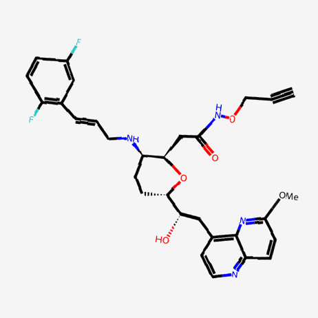 C#CCONC(=O)C[C@H]1O[C@H]([C@@H](O)Cc2ccnc3ccc(OC)nc23)CC[C@H]1NC/C=C/c1cc(F)ccc1F